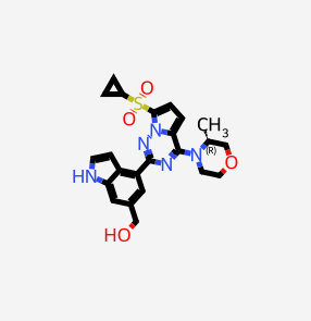 C[C@@H]1COCCN1c1nc(-c2cc(CO)cc3[nH]ccc23)nn2c(S(=O)(=O)C3CC3)ccc12